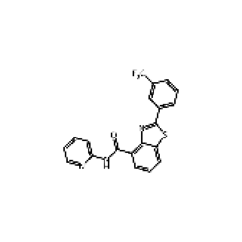 O=C(Nc1ccccn1)c1cccc2sc(-c3cccc(C(F)(F)F)c3)nc12